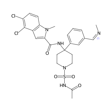 C/N=C\c1cccc(C2(NC(=O)c3cc4c(Cl)c(Cl)ccc4n3C)CCN(S(=O)(=O)NC(C)=O)CC2)c1